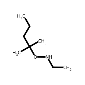 [CH2]CNOC(C)(C)CCC